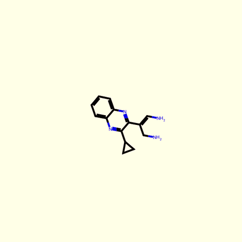 N/C=C(\CN)c1nc2ccccc2nc1C1CC1